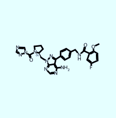 COc1ccc(F)cc1C(=O)NCc1ccc(-c2nn(C[C@@H]3CCCN3C(=O)n3cncn3)c3ncnc(N)c23)cc1